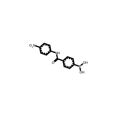 O=C(Nc1ccc([N+](=O)[O-])cc1)c1ccc(B(O)O)cc1